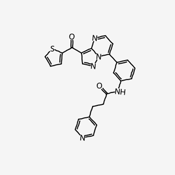 O=C(CCc1ccncc1)Nc1cccc(-c2ccnc3c(C(=O)c4cccs4)cnn23)c1